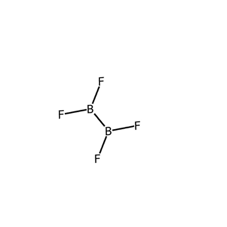 FB(F)B(F)F